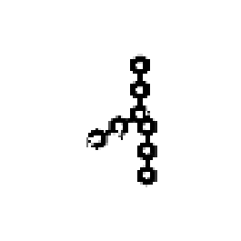 c1ccc(-c2ccc(-c3ccc4nc(-c5ccc(-c6ccccc6)cc5)cc(-c5ccc(-c6ccncc6)nc5)c4c3)cc2)cc1